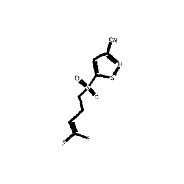 N#Cc1cc(S(=O)(=O)CCC=C(F)F)sn1